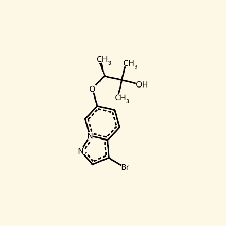 C[C@H](Oc1ccc2c(Br)cnn2c1)C(C)(C)O